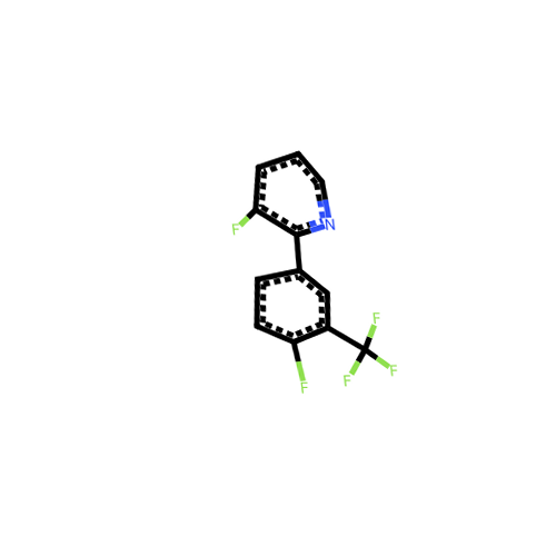 Fc1ccc(-c2ncccc2F)cc1C(F)(F)F